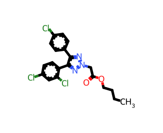 CCCCOC(=O)Cn1nc(-c2ccc(Cl)cc2)c(-c2ccc(Cl)cc2Cl)n1